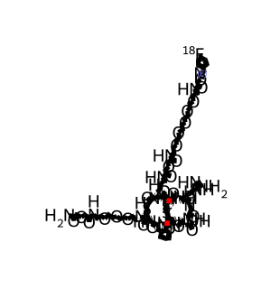 N=C(N)NCCC[C@@H]1NC(=O)[C@@H]2CSSC[C@H](NC(=O)[C@H](CC(=O)O)NC(=O)CNC1=O)C(=O)N[C@@H](Cc1ccccc1)C(=O)N[C@H](C(=O)NCCOCCOCCOCCNC(=O)COCC(N)=O)CSCC(=O)N[C@@H](CCCCNC(=O)COCC(=O)NCCOCCOCCOCCOCCOCCNC(=O)CO/N=C/c1ccc([18F])cc1)C(=O)N2